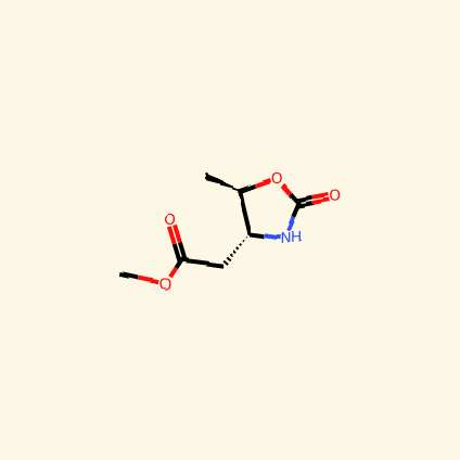 COC(=O)C[C@H]1NC(=O)O[C@@H]1C